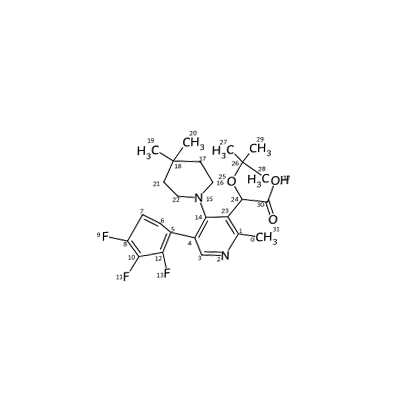 Cc1ncc(-c2ccc(F)c(F)c2F)c(N2CCC(C)(C)CC2)c1C(OC(C)(C)C)C(=O)O